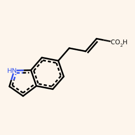 O=C(O)C=CCc1ccc2cc[nH]c2c1